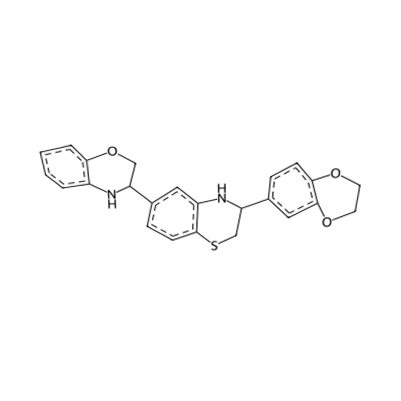 c1ccc2c(c1)NC(c1ccc3c(c1)NC(c1ccc4c(c1)OCCO4)CS3)CO2